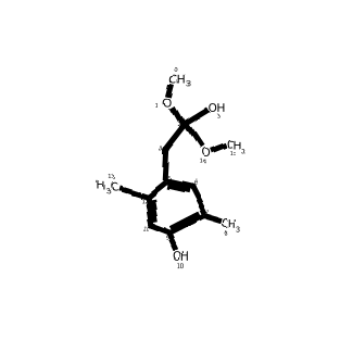 COC(O)(Cc1cc(C)c(O)cc1C)OC